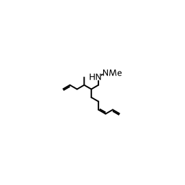 C=C/C=C\CCC(CNNC)C(C)CC=C